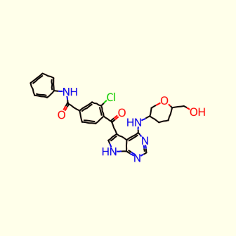 O=C(Nc1ccccc1)c1ccc(C(=O)c2c[nH]c3ncnc(NC4CCC(CO)OC4)c23)c(Cl)c1